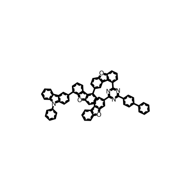 c1ccc(-c2ccc(-c3nc(-c4ccc5c(c4)oc4ccccc45)nc(-c4cccc5oc6ccc(-c7cccc8oc9c(-c%10ccc%11c(c%10)c%10ccccc%10n%11-c%10ccccc%10)cccc9c78)cc6c45)n3)cc2)cc1